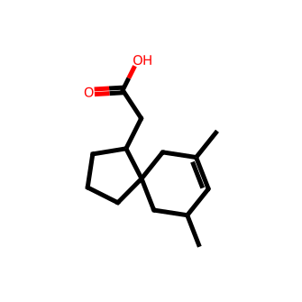 CC1=CC(C)CC2(CCCC2CC(=O)O)C1